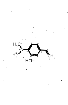 C=Cc1ccc(N(C)C)cc1.Cl